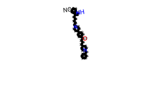 N#Cc1ccc2[nH]cc(CCCCCN3CCC(c4ccc(C(=O)CCCC5CCN(Cc6ccccc6)CC5)cc4)CC3)c2c1